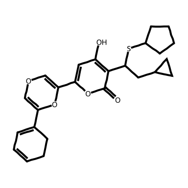 O=c1oc(C2=COC=C(C3=CC=CCC3)O2)cc(O)c1C(CC1CC1)SC1CCCC1